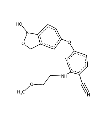 COCCNc1nc(Oc2ccc3c(c2)COB3O)ccc1C#N